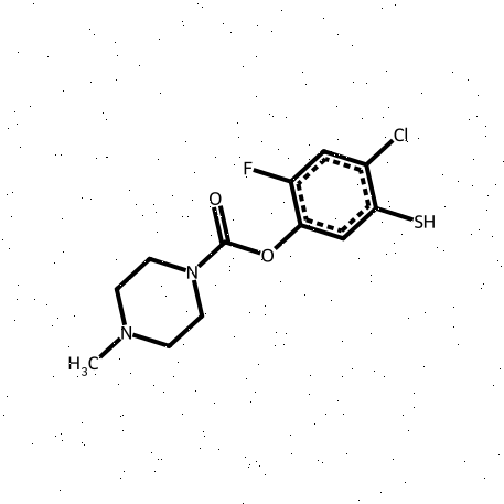 CN1CCN(C(=O)Oc2cc(S)c(Cl)cc2F)CC1